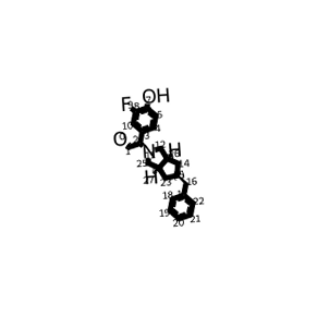 O=CC(c1ccc(O)c(F)c1)N1C[C@H]2C[C@@H](Cc3ccccc3)C[C@H]2C1